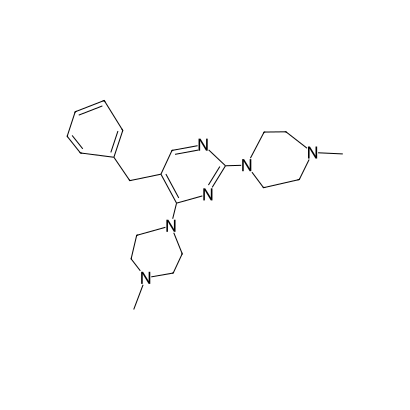 CN1CCN(c2ncc(Cc3ccccc3)c(N3CCN(C)CC3)n2)CC1